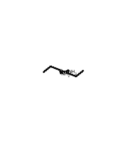 CCCCCCCC/C=C\CCCCCCCCN(CCCCN(CCCCCCCC/C=C\CCCCCCCC)CC(C)CN)CC(C)CN